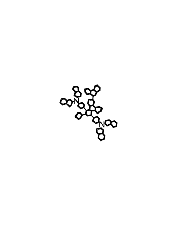 c1ccc(-c2cc(-c3ccc(N(c4ccc5ccccc5c4)c4ccc5ccccc5c4)cc3)c3c4ccccc4c4cc(-c5cc6ccccc6c6ccccc56)ccc4c3c2-c2ccc(N(c3ccc4ccccc4c3)c3ccc4ccccc4c3)cc2)cc1